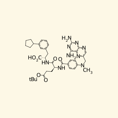 CN(Cc1cnc2nc(N)nc(N)c2n1)c1ccc(C(=O)N[C@@H](CCC(=O)OC(C)(C)C)C(=O)N[C@@H](Cc2cccc(C3CCCC3)c2)C(=O)O)cc1